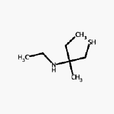 CCNC(C)(CC)CS